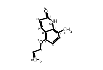 C=CCOc1ccc(C)c2[nH]c(=O)ccc12